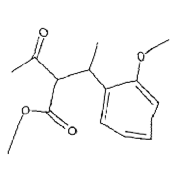 COC(=O)C(C(C)=O)C(C)c1ccccc1OC